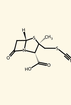 C[C@@]1(CSC#N)S[C@H]2CC(=O)N2[C@H]1C(=O)O